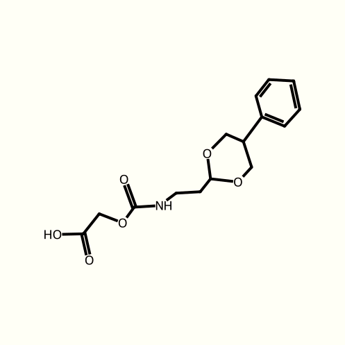 O=C(O)COC(=O)NCCC1OCC(c2ccccc2)CO1